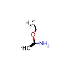 [CH]=C(N)OCC